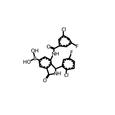 O=C(Nc1cc(B(O)O)cc2c1C(c1cc(F)ccc1Cl)NC2=O)c1cc(F)cc(Cl)c1